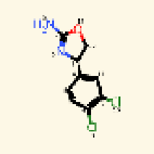 NC1=N[C@H](c2ccc(Cl)c(Cl)c2)CO1